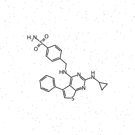 NS(=O)(=O)c1ccc(CNc2nc(NC3CC3)nc3scc(-c4ccccc4)c23)cc1